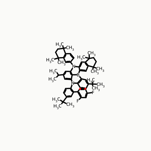 CC(C)c1cc2c3c(c1)N(c1ccc(C(C)(C)C)cc1-c1ccc(F)cc1F)c1ccc(C(C)(C)C)cc1B3c1cc3c(cc1N2c1ccc2c(c1)C(C)(C)CCC2(C)C)C(C)(C)CCC3(C)C